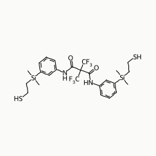 C[Si](C)(CCS)c1cccc(NC(=O)C(C(=O)Nc2cccc([Si](C)(C)CCS)c2)(C(F)(F)F)C(F)(F)F)c1